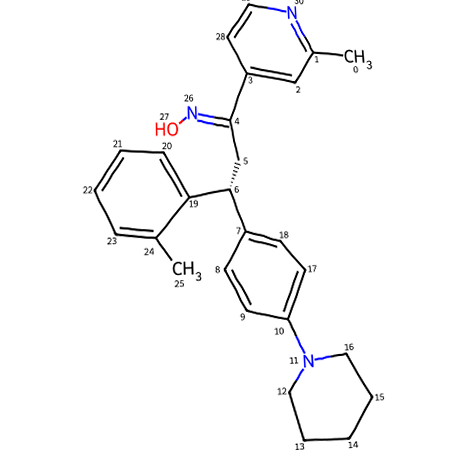 Cc1cc(/C(C[C@H](c2ccc(N3CCCCC3)cc2)c2ccccc2C)=N/O)ccn1